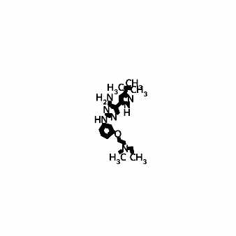 CCN(CC)CCOc1cccc(Nc2ncc(-c3cc(C(C)(C)C)n[nH]3)c(N)n2)c1